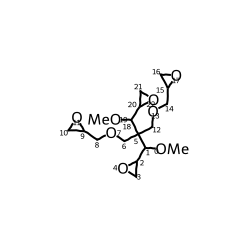 COC(C1CO1)C(COCC1CO1)(COCC1CO1)C(OC)C1CO1